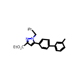 CCOC(=O)c1cc(-c2ccc(-c3cccc(C)c3)cc2)n(CC(C)C)n1